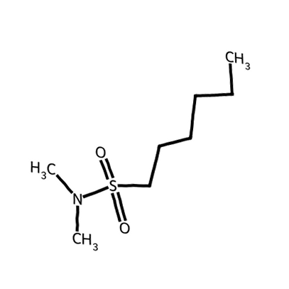 CCCCCCS(=O)(=O)N(C)C